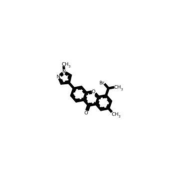 Cc1cc(C(C)Br)c2oc3cc(-c4cnn(C)c4)ccc3c(=O)c2c1